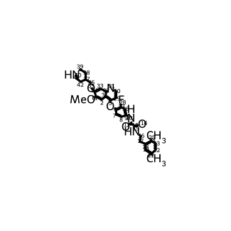 COc1cc2c(Oc3ccc(NC(=O)C(=O)NCCc4cc(C)ccc4C)cc3F)ccnc2cc1OCC1CCNCC1